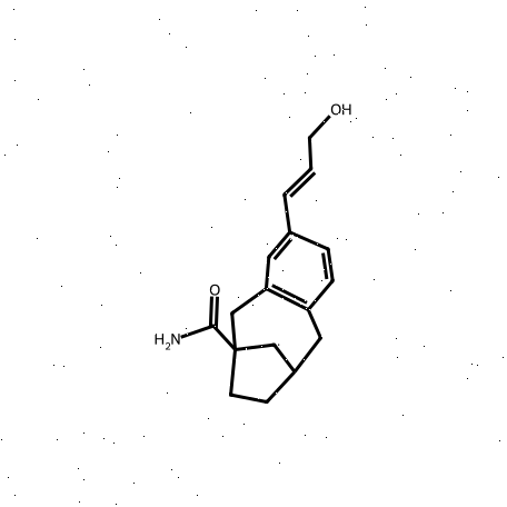 NC(=O)C12[CH]C(CC1)Cc1ccc(C=CCO)cc1C2